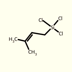 CC(C)=CC[Si](Cl)(Cl)Cl